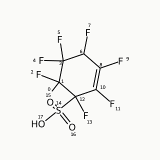 CC1(F)C(F)(F)C(F)C(F)=C(F)C1(F)S(=O)(=O)O